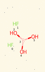 F.F.OB(O)O